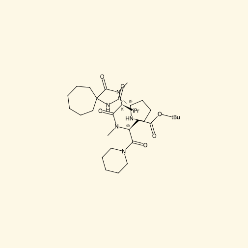 CC(C)[C@@H](C(=O)N(C)[C@@H](CC(=O)OC(C)(C)C)C(=O)N1CCCCC1)N(C)C(=O)C1(NC(=O)[C@@H]2CCCN2)CCCCCC1